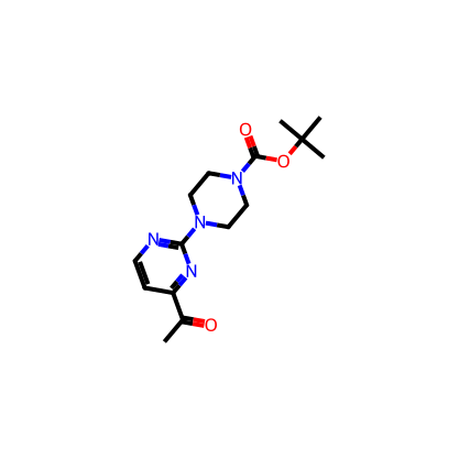 CC(=O)c1ccnc(N2CCN(C(=O)OC(C)(C)C)CC2)n1